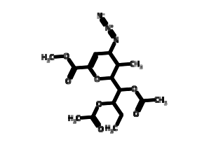 CCC(OC(C)=O)C(OC(C)=O)C1OC(C(=O)OC)=CC(N=[N+]=[N-])C1C